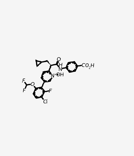 O=C(O)c1ccc(NC(=O)[C@H](CC2CC2)c2ccc(-c3c(OC(F)F)ccc(Cl)c3F)c[n+]2O)cc1